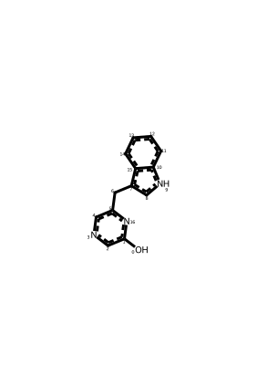 Oc1cncc(Cc2c[nH]c3ccccc23)n1